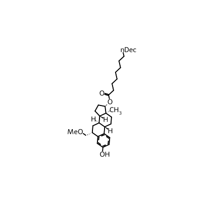 CCCCCCCCCCCCCCCCCC(=O)O[C@H]1CC[C@H]2[C@@H]3C[C@@H](COC)c4cc(O)ccc4[C@H]3CC[C@]12C